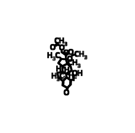 CC(=O)OCC(=O)[C@@]1(OC(C)=O)[C@H](C)C[C@H]2[C@@H]3CCC4=CC(=O)C=C(F)[C@]4(C)[C@H]3C(O)C[C@@]21C